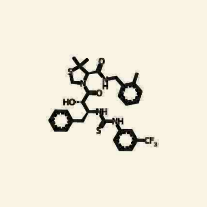 Cc1ccccc1CNC(=O)[C@H]1N(C(=O)[C@@H](O)[C@H](Cc2ccccc2)NC(=S)Nc2cccc(C(F)(F)F)c2)CSC1(C)C